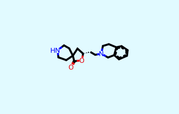 O=C1O[C@@H](CCN2CCc3ccccc3C2)CC12CCNCC2